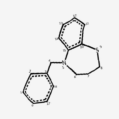 c1ccc(CN2CCCSc3ccccc32)cc1